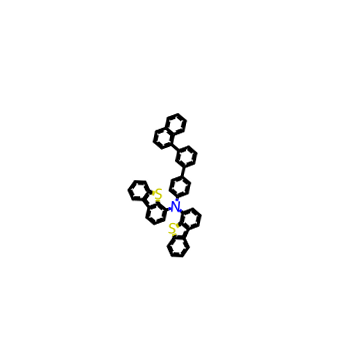 c1cc(-c2ccc(N(c3cccc4c3sc3ccccc34)c3cccc4c3sc3ccccc34)cc2)cc(-c2cccc3ccccc23)c1